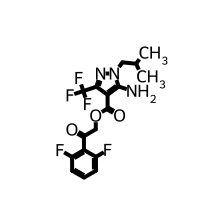 CC(C)Cn1nc(C(F)(F)F)c(C(=O)OCC(=O)c2c(F)cccc2F)c1N